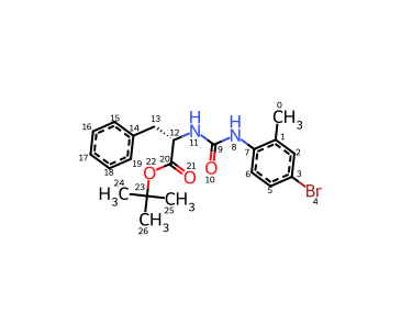 Cc1cc(Br)ccc1NC(=O)N[C@@H](Cc1ccccc1)C(=O)OC(C)(C)C